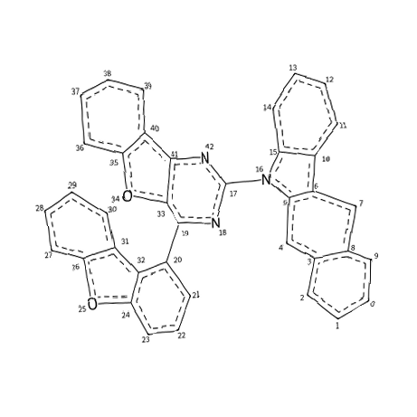 c1ccc2cc3c(cc2c1)c1ccccc1n3-c1nc(-c2cccc3oc4ccccc4c23)c2oc3ccccc3c2n1